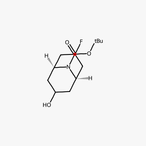 CC(C)(C)OC(=O)N1[C@@H]2CC(O)C[C@H]1CC(F)C2